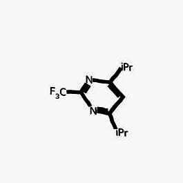 CC(C)c1cc(C(C)C)nc(C(F)(F)F)n1